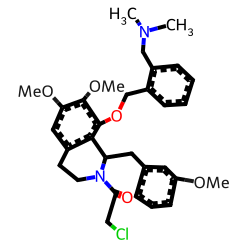 COc1cccc(CC2c3c(cc(OC)c(OC)c3OCc3ccccc3CN(C)C)CCN2C(=O)CCl)c1